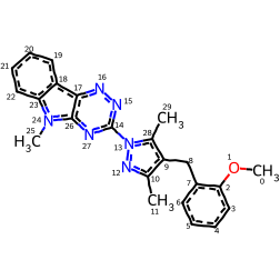 COc1ccccc1Cc1c(C)nn(-c2nnc3c4ccccc4n(C)c3n2)c1C